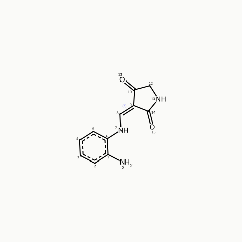 Nc1ccccc1N/C=C1/C(=O)CNC1=O